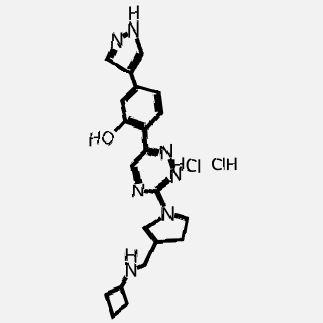 Cl.Cl.Oc1cc(-c2cn[nH]c2)ccc1-c1cnc(N2CCC(CNC3CCC3)C2)nn1